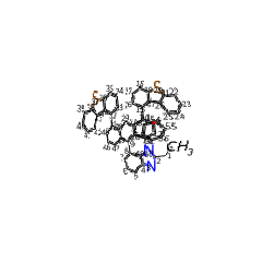 CCc1nc2cccc(-c3c4cccc(-c5cccc6sc7ccccc7c56)c4cc4c(-c5cccc6sc7ccccc7c56)cccc34)c2n1-c1ccccc1